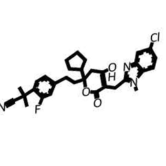 Cn1c(CC2=C(O)CC(CCc3ccc(C(C)(C)C#N)c(F)c3)(C3CCCC3)OC2=O)nc2cc(Cl)ccc21